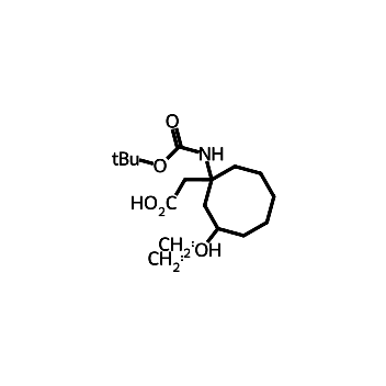 CC(C)(C)OC(=O)NC1(CC(=O)O)CCCCCC(O)C1.[CH2].[CH2]